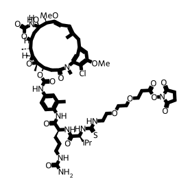 COc1cc2cc(c1Cl)N(C)C(=O)C[C@H](OC(=O)Nc1ccc(NC(=O)[C@H](CCCNC(N)=O)NC(=O)[C@@H](NC(=S)NCCOCCOCCC(=O)ON3C(=O)CCC3=O)C(C)C)c(C)c1)[C@]1(C)O[C@H]1[C@H](C)[C@@H]1C[C@@](O)(NC(=O)O1)[C@H](OC)/C=C/C=C(\C)C2